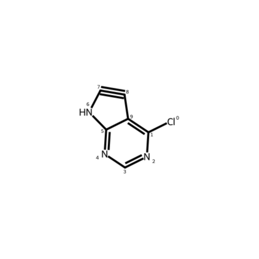 Clc1ncnc2[nH]c#cc12